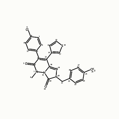 Cn1c(=O)c(-c2ccc(Cl)cc2)c(-c2ccsc2)c2nn(Cc3ccc(C(F)(F)F)nc3)c(=O)n21